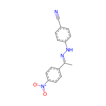 C/C(=N\Nc1ccc(C#N)cc1)c1ccc([N+](=O)[O-])cc1